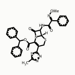 CON=C(C(=O)NC1C(=O)N2C(C(=O)OC(c3ccccc3)c3ccccc3)=C(c3nnc(C)s3)CS[C@@H]12)c1ccccc1